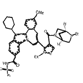 CCN1C[C@@H]2C[C@H]1CN2C(=O)c1cnn(CC)c1C1=Cc2cc(OC)ccc2-c2c(C3CCCCC3)c3ccc(C(=O)NS(=O)(=O)C(C)C)cc3n2C1